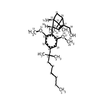 CCCCCCC(C)(C)c1cc(OC)c([C@H]2C=C(CO)C3C[C@@H]2C3(C)C)c(OC)c1